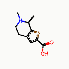 CC1c2sc(C(=O)O)cc2CCN1C